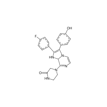 O=C1CN(C2=NC=CN3C(c4ccc(O)cc4)=C(c4ccc(F)cc4)NC23)CCN1